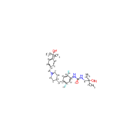 CC(C)(O)CNC(=O)Nc1cc(F)c(CC2CCN(Cc3ccc(C(O)(C(F)(F)F)C(F)(F)F)cc3)CC2)cc1F